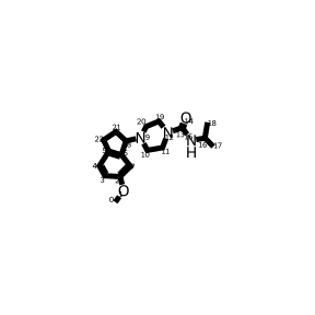 COc1ccc2c(c1)C(N1CCN(C(=O)NC(C)C)CC1)CC2